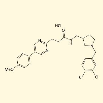 COc1ccc(-c2cnc(CCC(=O)NCC3CCN(Cc4ccc(Cl)c(Cl)c4)C3)nc2)cc1.Cl